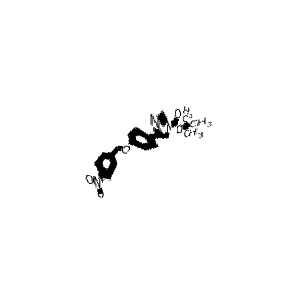 CC(C)(C)OC(=O)n1cnc(-c2ccc(OCc3ccc([N+](=O)[O-])cc3)cc2)c1